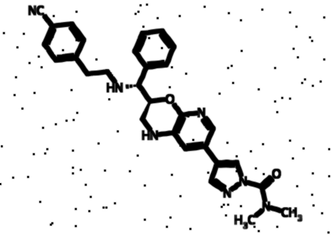 CN(C)C(=O)n1cc(-c2cnc3c(c2)NC[C@@H]([C@H](NCCc2ccc(C#N)cc2)c2ccccc2)O3)cn1